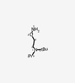 CC(C)N(CCON)C(C)(C)C